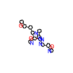 c1cc(-c2ccc(-c3cc(-c4ccnc(-c5cc(-c6ccc7oc8cccnc8c7c6)ccn5)c4)cc4c3oc3cccnc34)c(-n3c4ccccc4c4cnccc43)c2)cc(-c2ccc3oc4ccccc4c3c2)c1